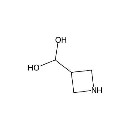 OC(O)C1CNC1